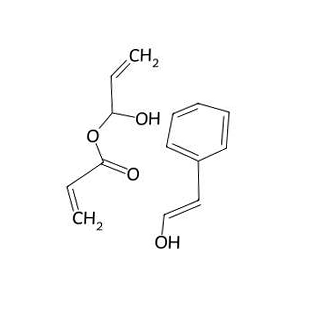 C=CC(=O)OC(O)C=C.OC=Cc1ccccc1